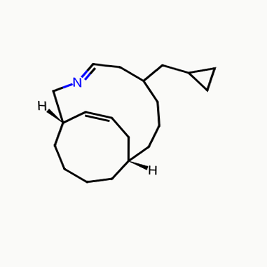 C1=C\[C@@H]2CCCC[C@H](C/1)CCCC(CC1CC1)C/C=N/C2